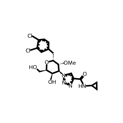 CO[C@@H]1[C@@H](n2cc(C(=O)NC3CC3)nn2)[C@@H](O)[C@@H](CO)O[C@@H]1Cc1ccc(Cl)c(Cl)c1